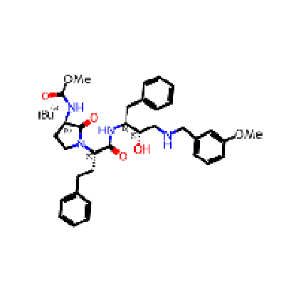 CC[C@H](C)[C@@]1(NC(=O)OC)CCN([C@@H](CCc2ccccc2)C(=O)N[C@@H](Cc2ccccc2)[C@@H](O)CNCc2cccc(OC)c2)C1=O